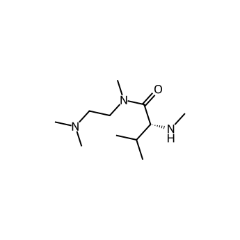 CN[C@@H](C(=O)N(C)CCN(C)C)C(C)C